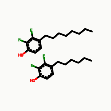 CCCCCCCCc1ccc(O)c(F)c1F.CCCCCCc1ccc(O)c(F)c1F